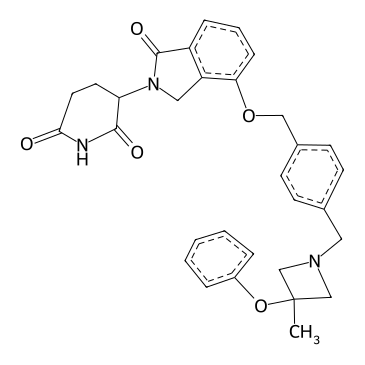 CC1(Oc2ccccc2)CN(Cc2ccc(COc3cccc4c3CN(C3CCC(=O)NC3=O)C4=O)cc2)C1